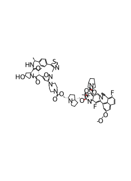 C#Cc1c(F)ccc2cc(OCOC)cc(-c3ncc4c(N5CC6CCC(C5)N6C(=O)OC(C)(C)C)nc(OC[C@]56CCCN5[C@H](COC(=O)N5CCN(c7cc([C@H](C(=O)N8C[C@H](O)C[C@H]8C(=O)N[C@@H](C)c8ccc(-c9scnc9C)cc8)C(C)C)on7)CC5)CC6)nc4c3F)c12